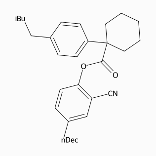 CCCCCCCCCCc1ccc(OC(=O)C2(c3ccc(CC(C)CC)cc3)CCCCC2)c(C#N)c1